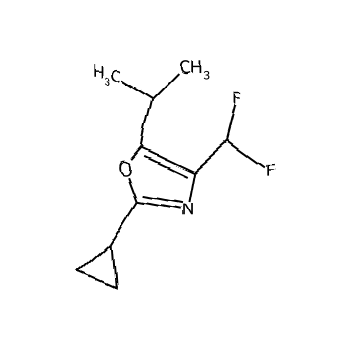 CC(C)c1oc(C2CC2)nc1C(F)F